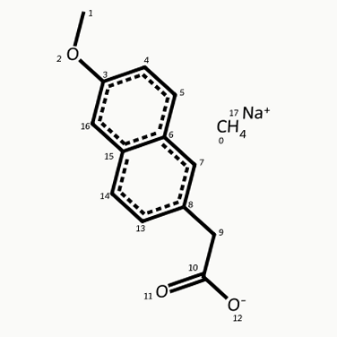 C.COc1ccc2cc(CC(=O)[O-])ccc2c1.[Na+]